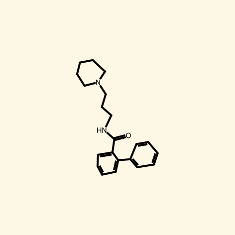 O=C(NCCCN1CCCCC1)c1ccccc1-c1ccccc1